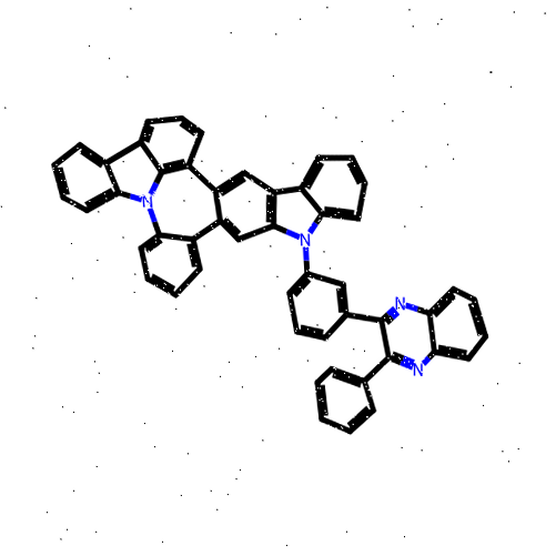 c1ccc(-c2nc3ccccc3nc2-c2cccc(-n3c4ccccc4c4cc5c(cc43)-c3ccccc3-n3c4ccccc4c4cccc-5c43)c2)cc1